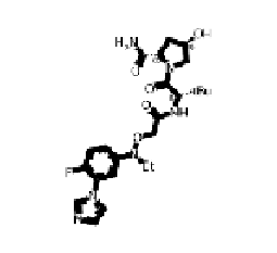 CCN(OCC(=O)N[C@H](C(=O)N1C[C@H](O)C[C@H]1C(N)=O)C(C)(C)C)c1ccc(F)c(-n2ccnc2)c1